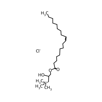 CCCCCCCC/C=C\CCCCCCCC(=O)OCC(O)C[N+](C)(C)C.[Cl-]